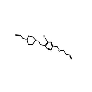 C=CCCOCc1ccc(CC[C@H]2CC[C@H](CC=C)CC2)c(F)c1